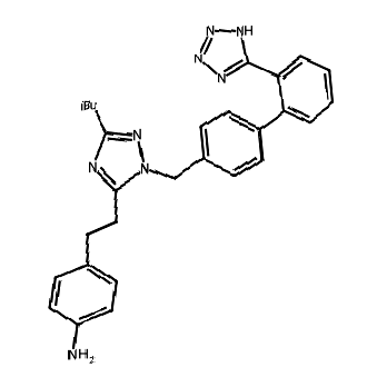 CCC(C)c1nc(CCc2ccc(N)cc2)n(Cc2ccc(-c3ccccc3-c3nnn[nH]3)cc2)n1